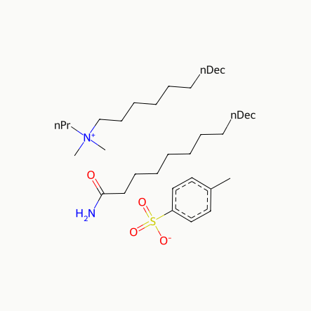 CCCCCCCCCCCCCCCCCC(N)=O.CCCCCCCCCCCCCCCC[N+](C)(C)CCC.Cc1ccc(S(=O)(=O)[O-])cc1